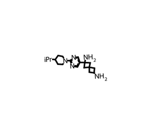 CC(C)C1CCN(c2ncc(C3(N)CC4(CC(N)C4)C3)cn2)CC1